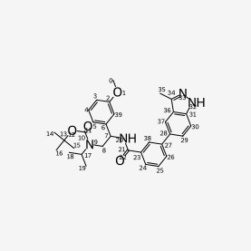 COc1cccc(C(CN(C(=O)OC(C)(C)C)C(C)C)NC(=O)c2cccc(-c3ccc4[nH]nc(C)c4c3)c2)c1